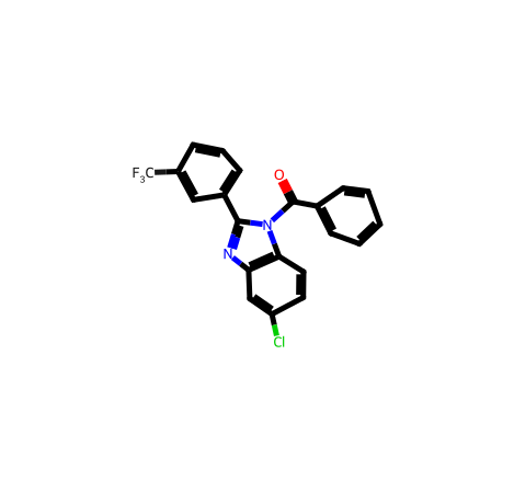 O=C(c1ccccc1)n1c(-c2cccc(C(F)(F)F)c2)nc2cc(Cl)ccc21